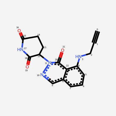 C#CCNc1cccc2cnn(C3CCC(=O)NC3=O)c(=O)c12